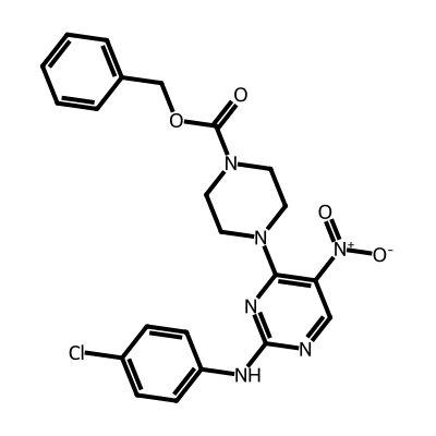 O=C(OCc1ccccc1)N1CCN(c2nc(Nc3ccc(Cl)cc3)ncc2[N+](=O)[O-])CC1